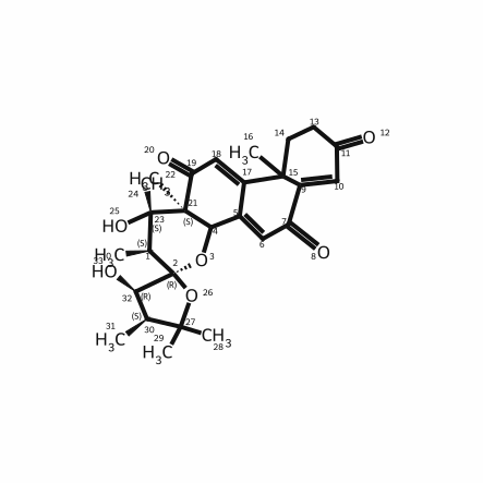 C[C@@H]1[C@@]2(OC3C4=CC(=O)C5=CC(=O)CCC5(C)C4=CC(=O)[C@]3(C)[C@@]1(C)O)OC(C)(C)[C@@H](C)[C@H]2O